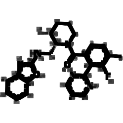 Cc1ccc(C(=O)N2CCC[C@@H](C)[C@H]2CNc2nc3ccccc3o2)c(-c2ncccn2)c1F